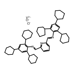 C(=Nc1c(C2CCCCC2)cc(C2CCCCC2)cc1C1CCCCC1)c1cccc(C=Nc2c(C3CCCCC3)cc(C3CCCCC3)cc2C2CCCCC2)n1.[Cl-].[Cl-].[V+2]